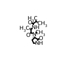 CC(C)C(=O)N[C@@H](C)C(=O)N(C)[C@H]1CCNC1=O